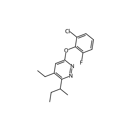 CCc1cc(Oc2c(F)cccc2Cl)nnc1C(C)CC